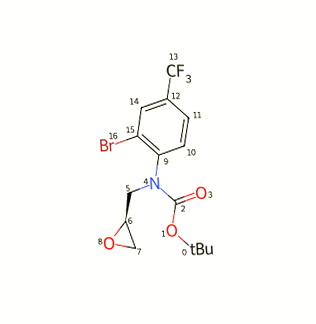 CC(C)(C)OC(=O)N(C[C@H]1CO1)c1ccc(C(F)(F)F)cc1Br